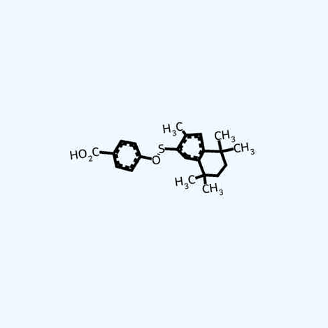 Cc1cc2c(cc1SOc1ccc(C(=O)O)cc1)C(C)(C)CCC2(C)C